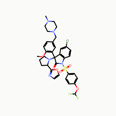 COc1ccc(CN2CCN(C)CC2)cc1C1(N2CCCC2c2ncco2)C(=O)N(S(=O)(=O)c2ccc(OC(F)F)cc2)c2ccc(Cl)cc21